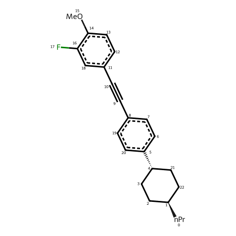 CCC[C@H]1CC[C@H](c2ccc(C#Cc3ccc(OC)c(F)c3)cc2)CC1